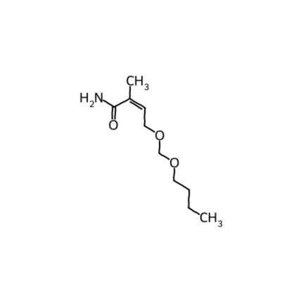 CCCCOCOCC=C(C)C(N)=O